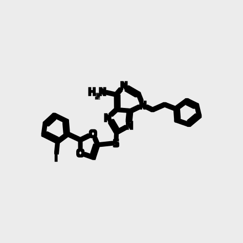 Nc1ncn(CCc2ccccc2)c2nc(SC3=COC(c4ccccc4I)O3)nc1-2